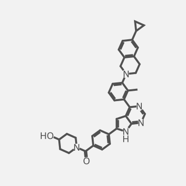 Cc1c(-c2ncnc3[nH]c(-c4ccc(C(=O)N5CCC(O)CC5)cc4)cc23)cccc1N1CCc2cc(C3CC3)ccc2C1